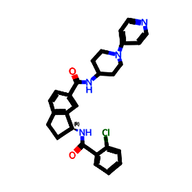 O=C(NC1CCN(c2ccncc2)CC1)c1ccc2c(c1)[C@H](NC(=O)c1ccccc1Cl)CC2